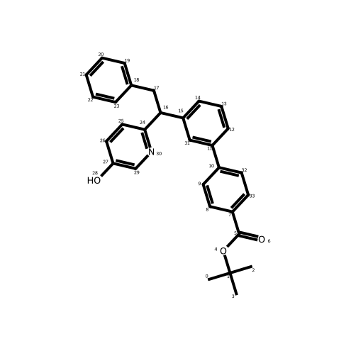 CC(C)(C)OC(=O)c1ccc(-c2cccc(C(Cc3ccccc3)c3ccc(O)cn3)c2)cc1